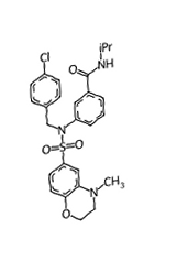 CC(C)NC(=O)c1cccc(N(Cc2ccc(Cl)cc2)S(=O)(=O)c2ccc3c(c2)N(C)CCO3)c1